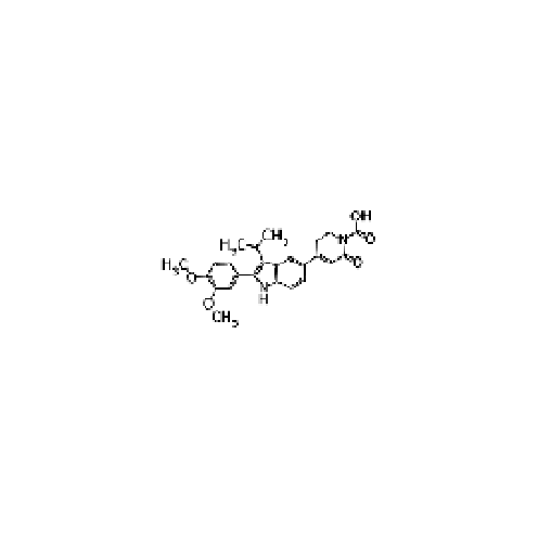 COc1ccc(-c2[nH]c3ccc(C4=CC(=O)N(C(=O)O)CC4)cc3c2C(C)C)cc1OC